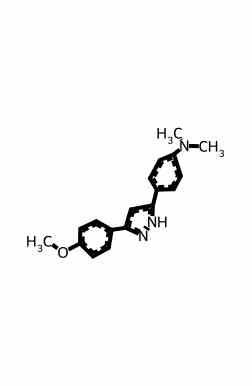 COc1ccc(-c2cc(-c3ccc(N(C)C)cc3)[nH]n2)cc1